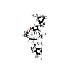 C[C@@H](O[C@@H]1COP(=O)(S)O[C@@H]2[C@H](O)[C@@H](COP(=O)(S)O[C@H]1F)S[C@H]2n1nnc2c(=O)[nH]c(N)nc21)n1nnc2c(N)ncnc21